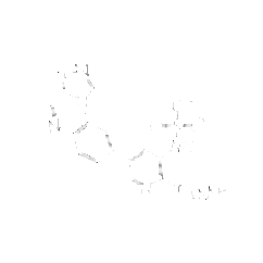 COc1ncc(-c2ccc3ncc4nncn4c3c2)cc1NS(=O)(=O)C(F)(F)F